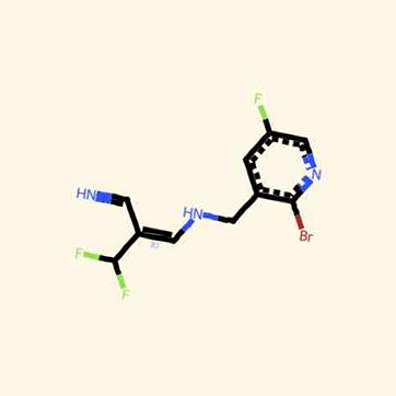 N=C/C(=C\NCc1cc(F)cnc1Br)C(F)F